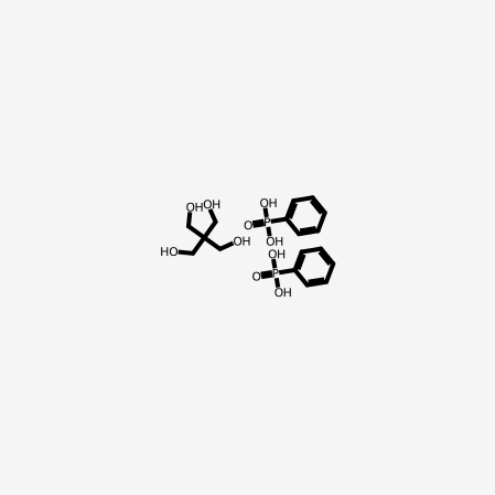 O=P(O)(O)c1ccccc1.O=P(O)(O)c1ccccc1.OCC(CO)(CO)CO